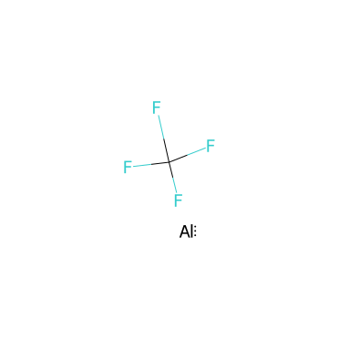 FC(F)(F)F.[Al]